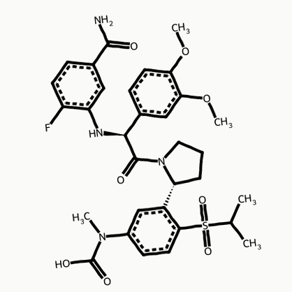 COc1ccc([C@H](Nc2cc(C(N)=O)ccc2F)C(=O)N2CCC[C@@H]2c2cc(N(C)C(=O)O)ccc2S(=O)(=O)C(C)C)cc1OC